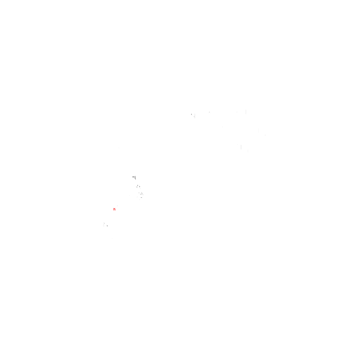 CC(C)(C)OC(=O)N1CCC(OC2CC(Oc3cc(N4C5CCC4CC(OS(C)(=O)=O)C5)ccn3)C2)CC1